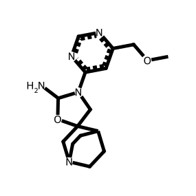 COCc1cc(N2CC3(CN4CCC3CC4)OC2N)ncn1